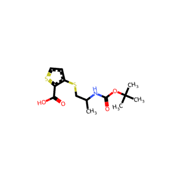 CC(CSc1ccsc1C(=O)O)NC(=O)OC(C)(C)C